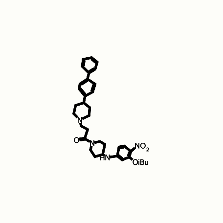 CC(C)COc1cc(NC2CCN(C(=O)CCN3CCC(c4ccc(-c5ccccc5)cc4)CC3)CC2)ccc1[N+](=O)[O-]